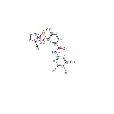 C=C1CC2CC[C@@H]1N2S(=O)(=O)c1cc(C(=O)Nc2cc(F)c(F)c(F)c2)ccc1Cl